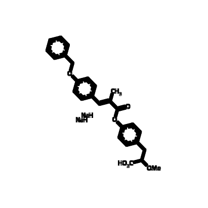 COC(Cc1ccc(OC(=O)C(C)=Cc2ccc(OCc3ccccc3)cc2)cc1)C(=O)O.[NaH].[NaH]